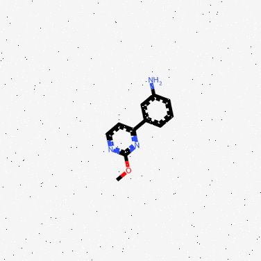 COc1n[c]cc(-c2cccc(N)c2)n1